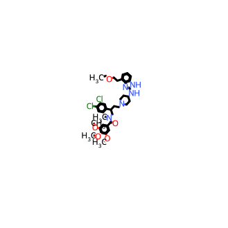 CCOCCc1cccc2[nH]c(NC3CCN(CCC(CN(C)C(=O)c4cc(OC)c(OC)c(OC)c4)c4ccc(Cl)c(Cl)c4)CC3)nc12